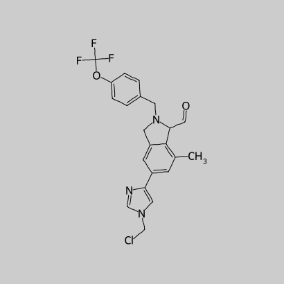 Cc1cc(-c2cn(CCl)cn2)cc2c1C(C=O)N(Cc1ccc(OC(F)(F)F)cc1)C2